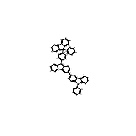 c1ccc(-n2c3ccccc3c3cc(-c4ccc5c(c4)c4ccccc4n5-c4ccc(C5(c6ccccc6)c6ccccc6-c6ccccc65)cc4)ccc32)cc1